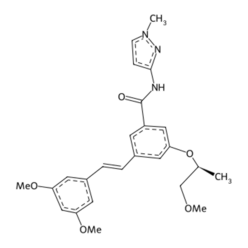 COC[C@H](C)Oc1cc(C=Cc2cc(OC)cc(OC)c2)cc(C(=O)Nc2ccn(C)n2)c1